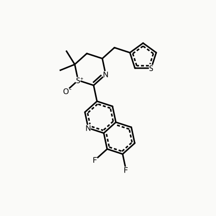 CC1(C)CC(Cc2ccsc2)N=C(c2cnc3c(F)c(F)ccc3c2)[S+]1[O-]